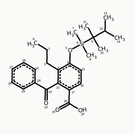 CCCc1c(O[Si](C)(C)C(C)(C)C(C)C)ccc(C(=O)O)c1C(=O)c1ccccc1